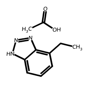 CC(=O)O.CCc1cccc2[nH]nnc12